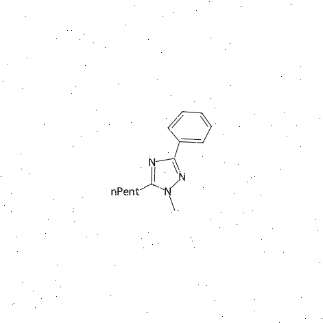 [CH2]n1nc(-c2ccccc2)nc1CCCCC